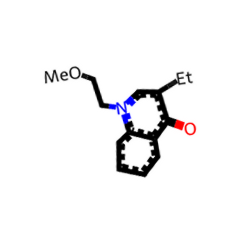 CCc1cn(CCOC)c2ccccc2c1=O